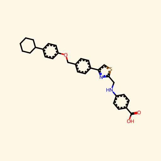 O=C(O)c1ccc(NCc2nc(-c3ccc(COc4ccc(C5CCCCC5)cc4)cc3)cs2)cc1